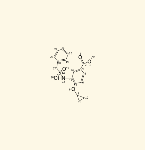 COC(=O)c1ccc(OC2CC2)c(NS(=O)(=O)Cc2ccccc2)c1